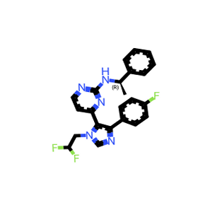 C[C@@H](Nc1nccc(-c2c(-c3ccc(F)cc3)ncn2CC(F)F)n1)c1ccccc1